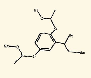 CCOC(C)Oc1ccc(OC(C)OCC)c(C(CC(C)(C)C)C(C)C)c1